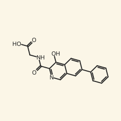 O=C(O)CNC(=O)c1ncc2cc(-c3ccccc3)ccc2c1O